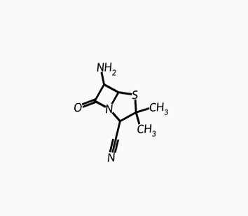 CC1(C)SC2C(N)C(=O)N2C1C#N